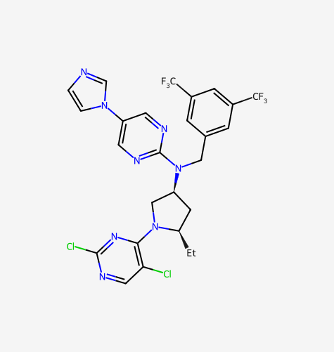 CC[C@@H]1C[C@H](N(Cc2cc(C(F)(F)F)cc(C(F)(F)F)c2)c2ncc(-n3ccnc3)cn2)CN1c1nc(Cl)ncc1Cl